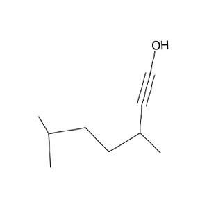 CC(C)CCC(C)C#CO